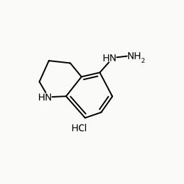 Cl.NNc1cccc2c1CCCN2